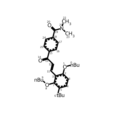 CCCCOc1ccc(C(C)(C)C)c(OCCCC)c1C=CC(=O)c1ccc(C(=O)N(C)C)cc1